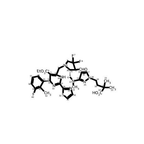 CCOC(=O)C1=C(CN2CC(F)(F)C(C=O)[C@@H]2CN(C)c2ccn(CCC(C)(C)C(=O)O)n2)NC(c2nccs2)=N[C@H]1c1cccc(F)c1C